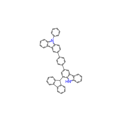 c1ccc(-n2c3ccccc3c3cc(-c4ccc(-c5cc(C6c7ccccc7-c7ccccc76)c6[nH]c7ccccc7c6c5)cc4)ccc32)cc1